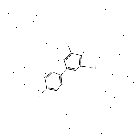 CCCc1c(C)cc(-c2ccc(O)cc2)cc1C